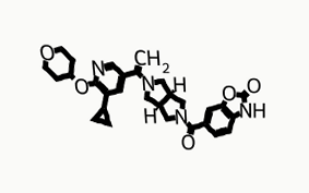 C=C(c1cnc(OC2CCOCC2)c(C2CC2)c1)N1C[C@@H]2CN(C(=O)c3ccc4[nH]c(=O)oc4c3)C[C@H]2C1